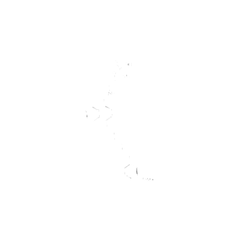 COc1cccc(CCCCCCc2ccc(CNCCOP(=O)(O)O)c3ccccc23)c1